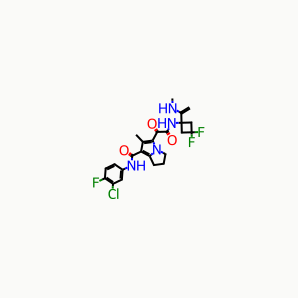 C=C(NC)C1(NC(=O)C(=O)c2c(C)c(C(=O)Nc3ccc(F)c(Cl)c3)c3n2CCC3)CC(F)(F)C1